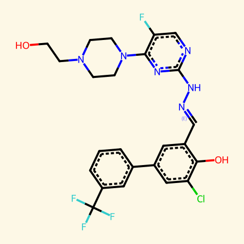 OCCN1CCN(c2nc(N/N=C/c3cc(-c4cccc(C(F)(F)F)c4)cc(Cl)c3O)ncc2F)CC1